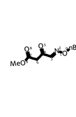 CCCCON=CC(=O)CC(=O)OC